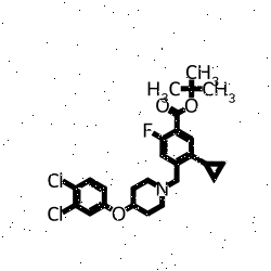 CC(C)(C)OC(=O)c1cc(C2CC2)c(CN2CCC(Oc3ccc(Cl)c(Cl)c3)CC2)cc1F